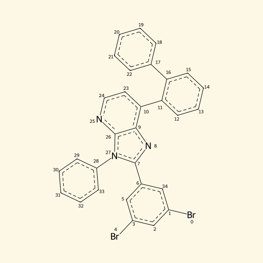 Brc1cc(Br)cc(-c2nc3c(-c4ccccc4-c4ccccc4)ccnc3n2-c2ccccc2)c1